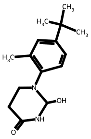 Cc1cc(C(C)(C)C)ccc1N1CCC(=O)NC1O